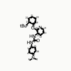 CN(C)c1ccc(NC(=O)Nc2cccnc2Oc2ccccc2C(C)(C)C)cc1